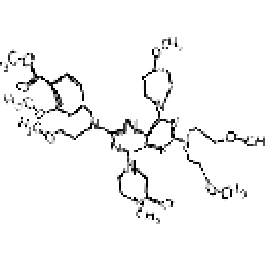 COCCN(Cc1ccc(C(=O)OC)c(OC)c1)c1nc(N2CCN(C)C(=O)C2)c2nc(N(CCOC)CCOC)nc(N3CCC(OC)CC3)c2n1